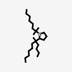 CCCCCCC(C)(CCCC)C1CCCN1C(C)(C)CCCCCC